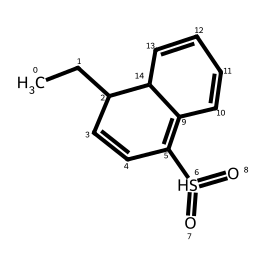 CCC1C=CC([SH](=O)=O)=C2C=CC=CC21